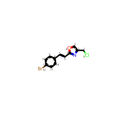 ClCc1coc(/C=C/c2ccc(Br)cc2)n1